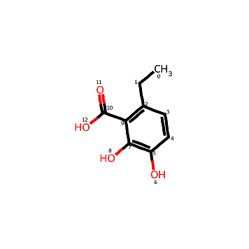 CCc1ccc(O)c(O)c1C(=O)O